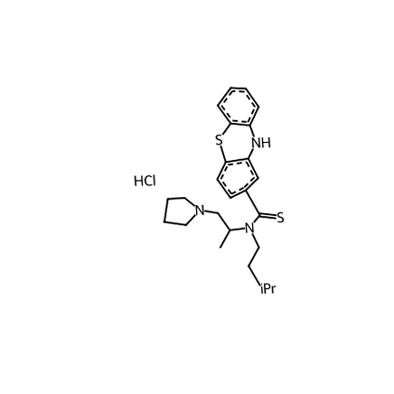 CC(C)CCN(C(=S)c1ccc2c(c1)Nc1ccccc1S2)C(C)CN1CCCC1.Cl